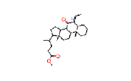 C/C=C1/C(=O)C2C(CCC3(C)C(C(C)CCC(=O)OC)CCC23)C2(C)CCCCC12